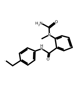 [CH2]Cc1ccc(NC(=O)c2ccccc2N(C)C(N)=O)cc1